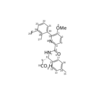 COc1ccc(C(=O)N[C@@H](CC(=O)O)c2ccc(C)cc2)nc1-c1cccc(F)c1C